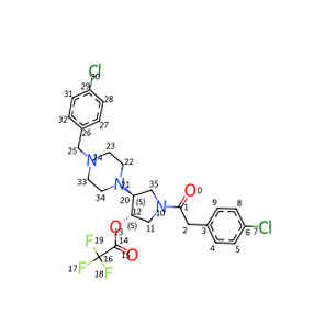 O=C(Cc1ccc(Cl)cc1)N1C[C@H](OC(=O)C(F)(F)F)[C@@H](N2CCN(Cc3ccc(Cl)cc3)CC2)C1